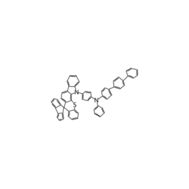 c1ccc(-c2ccc(-c3ccc(N(c4ccccc4)c4ccc(-n5c6ccccc6c6ccc7c(c65)Sc5ccccc5C75c6ccccc6-c6ccccc65)cc4)cc3)cc2)cc1